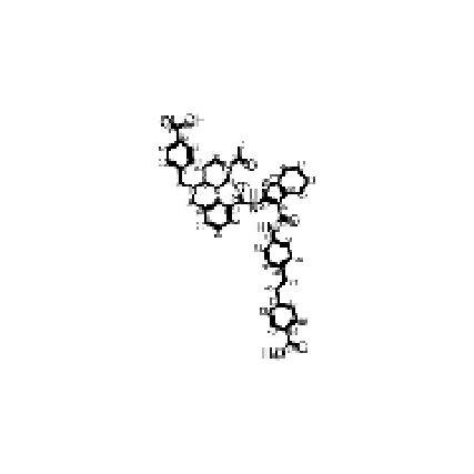 CC(=O)N1CCC(N(Cc2ccc(C(=O)O)cc2)Cc2cccc(C(=O)Nc3sc4c(c3C(=O)Nc3ccc(CCc5ccc(C(=O)O)cc5)cc3)CCCC4)c2)CC1